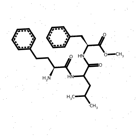 COC(=O)[C@H](Cc1ccccc1)NC(=O)C(CC(C)C)NC(=O)[C@@H](N)CCc1ccccc1